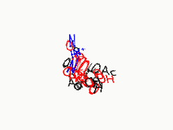 CC(=O)O[C@H]1C(=O)[C@@]2(C)[C@H]([C@H](OC(=O)c3ccccc3)C3(O)C[C@H](OC(=O)[C@H](OC(=O)OC[n+]4cccc(C(=O)N(C)C)c4)[C@@H](NC(=O)c4ccccc4)c4ccccc4)C(C)=C1C3(C)C)[C@]1(OC(C)=O)CO[C@@H]1C[C@@H]2O